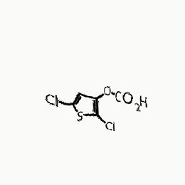 O=C(O)Oc1cc(Cl)sc1Cl